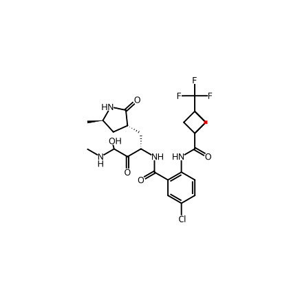 CNC(O)C(=O)[C@H](C[C@@H]1C[C@@H](C)NC1=O)NC(=O)c1cc(Cl)ccc1NC(=O)C12CC(C(F)(F)F)(C1)C2